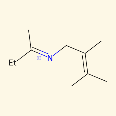 CC/C(C)=N/CC(C)=C(C)C